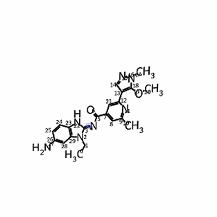 CCn1/c(=N/C(=O)c2cc(C)nc(-c3cnn(C)c3OC)c2)[nH]c2ccc(N)cc21